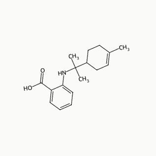 CC1=CCC(C(C)(C)Nc2ccccc2C(=O)O)CC1